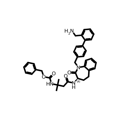 CC(C)(CC(=O)N[C@@H]1CCc2ccccc2N(Cc2ccc(-c3ccccc3CN)cc2)C1=O)NC(=O)OCc1ccccc1